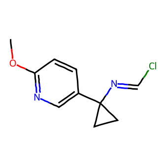 COc1ccc(C2(N=CCl)CC2)cn1